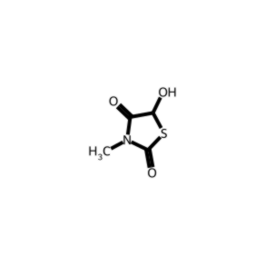 CN1C(=O)SC(O)C1=O